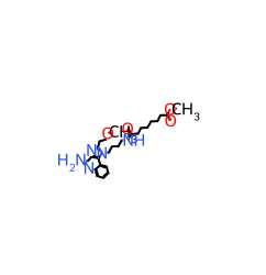 COCCc1nc2c(N)nc3ccccc3c2n1CCCCNC(=O)CCCCCCC(=O)OC